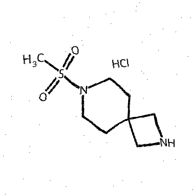 CS(=O)(=O)N1CCC2(CC1)CNC2.Cl